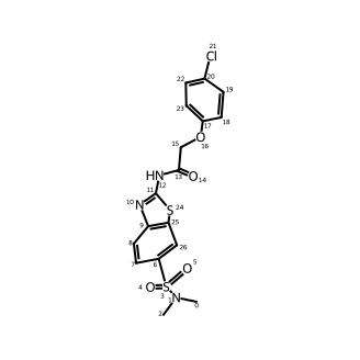 CN(C)S(=O)(=O)c1ccc2nc(NC(=O)COc3ccc(Cl)cc3)sc2c1